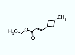 CCOC(=O)/C=C/[C@H]1C[C@H](C)C1